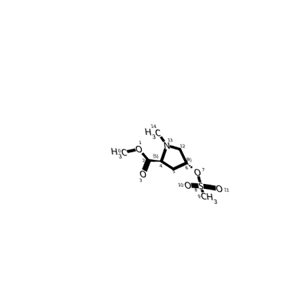 COC(=O)[C@@H]1C[C@@H](OS(C)(=O)=O)CN1C